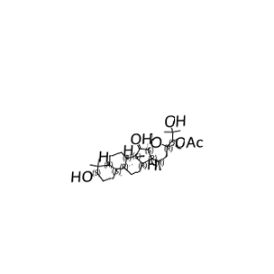 CC(=O)O[C@@H]([C@H]1C[C@@H](C)[C@H]2[C@H](O1)C(=O)[C@@]1(C)[C@@H]3CC[C@H]4C(C)(C)[C@@H](O)CC[C@]4(C)[C@]3(C)CC[C@]21C)C(C)(C)O